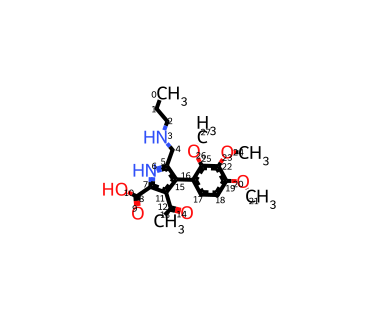 CCCNCc1[nH]c(C(=O)O)c(C(C)=O)c1-c1ccc(OC)c(OC)c1OC